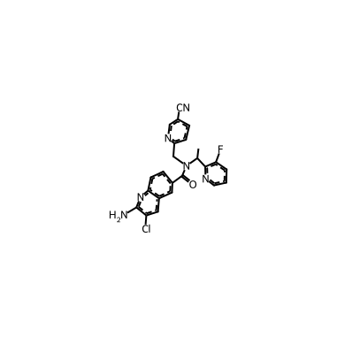 CC(c1ncccc1F)N(Cc1ccc(C#N)cn1)C(=O)c1ccc2nc(N)c(Cl)cc2c1